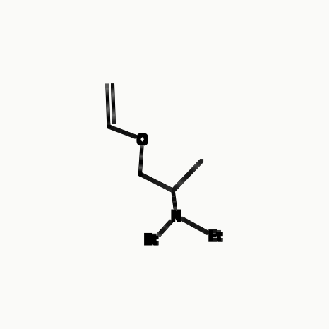 C=COCC(C)N(CC)CC